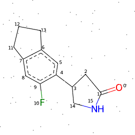 O=C1CC(c2cc3c(cc2F)CCC3)CN1